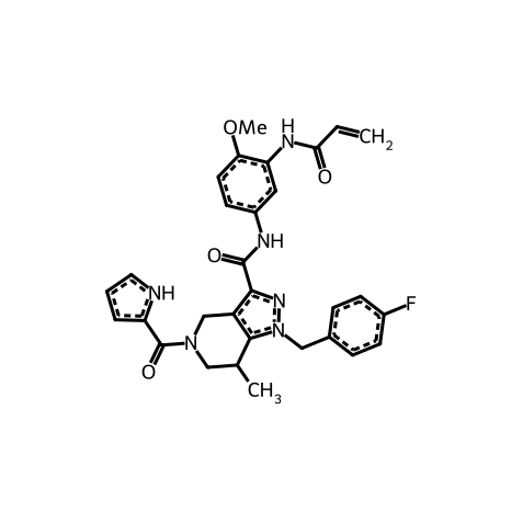 C=CC(=O)Nc1cc(NC(=O)c2nn(Cc3ccc(F)cc3)c3c2CN(C(=O)c2ccc[nH]2)CC3C)ccc1OC